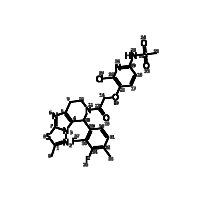 Cc1nn2c3c(nc2s1)CCN(C(=O)COc1ccc(NS(C)(=O)=O)nc1Cl)C3c1ccc(C)c(F)c1F